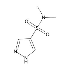 CN(C)S(=O)(=O)c1cn[nH]c1